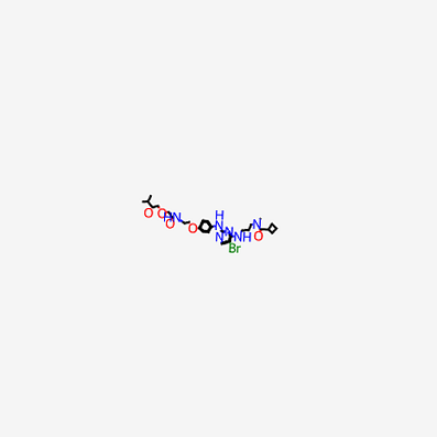 CC(C)C(=O)COCC(=O)NCCOc1ccc(Nc2ncc(Br)c(NCCCN(C)C(=O)C3CCC3)n2)cc1